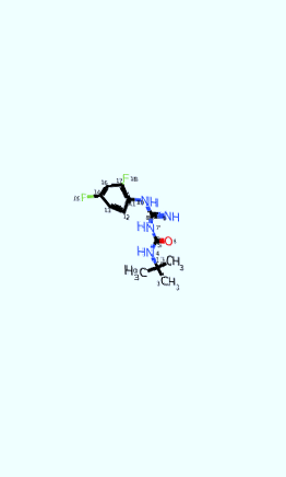 CC(C)(C)NC(=O)NC(=N)Nc1ccc(F)cc1F